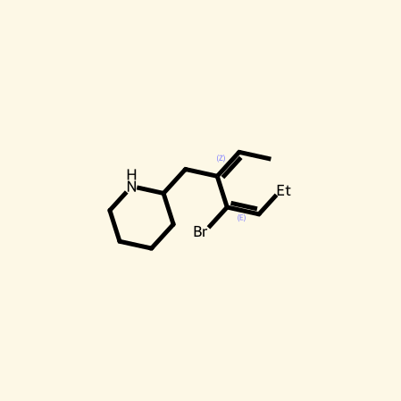 C/C=C(CC1CCCCN1)\C(Br)=C/CC